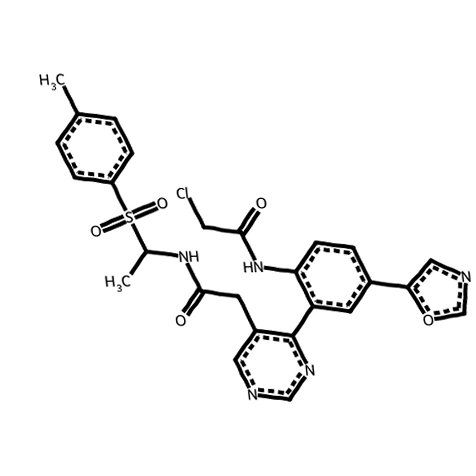 Cc1ccc(S(=O)(=O)C(C)NC(=O)Cc2cncnc2-c2cc(-c3cnco3)ccc2NC(=O)CCl)cc1